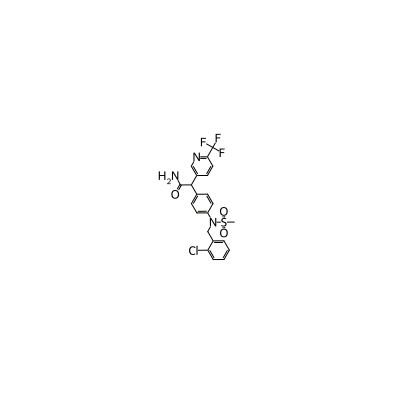 CS(=O)(=O)N(Cc1ccccc1Cl)c1ccc(C(C(N)=O)c2ccc(C(F)(F)F)nc2)cc1